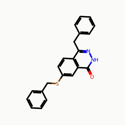 O=c1[nH]nc(Cc2ccccc2)c2ccc(SCc3ccccc3)cc12